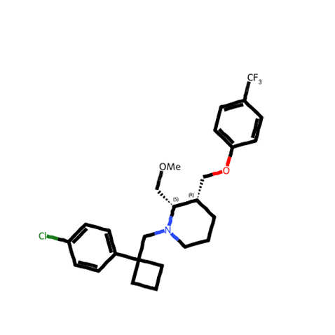 COC[C@@H]1[C@H](COc2ccc(C(F)(F)F)cc2)CCCN1CC1(c2ccc(Cl)cc2)CCC1